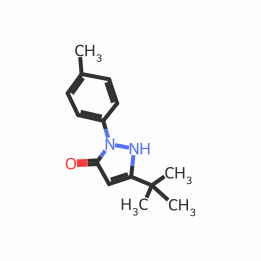 Cc1ccc(-n2[nH]c(C(C)(C)C)cc2=O)cc1